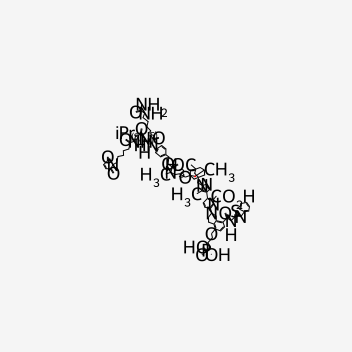 Cc1c(-c2ccc(N3CCc4c(OCCCP(=O)(O)O)ccc(C(=O)Nc5nc6ccccc6s5)c4C3)nc2C(=O)O)cnn1CC12CC3(C)CC(C)(C1)CC(OCCN(C)C(=O)OCc1ccc(NC(=O)[C@H](CCCCNC(N)=O)NC(=O)[C@@H](NC(=O)CCCCCN4C(=O)C=CC4=O)C(C)C)cc1)(C3)C2